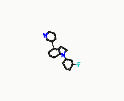 Fc1cccc(-n2ccc3c(-c4cccnc4)cccc32)c1